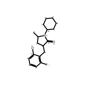 CC1CC(Cc2c(F)cccc2Cl)C(=O)N1C1CCCCC1